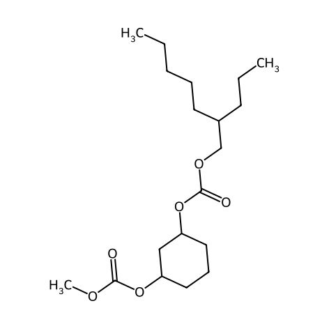 CCCCCC(CCC)COC(=O)OC1CCCC(OC(=O)OC)C1